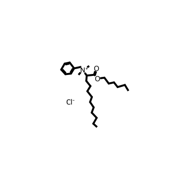 CCCCCCCCCCC(C(=O)OCCCCCC)[N+](C)(C)Cc1ccccc1.[Cl-]